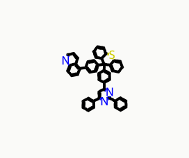 C1=CC2SC3=CCCC=C3C(c3ccc(-c4cc(-c5ccccc5)nc(-c5ccccc5)n4)cc3)(c3ccc(-c4cccc5ncccc45)cc3)C2C=C1